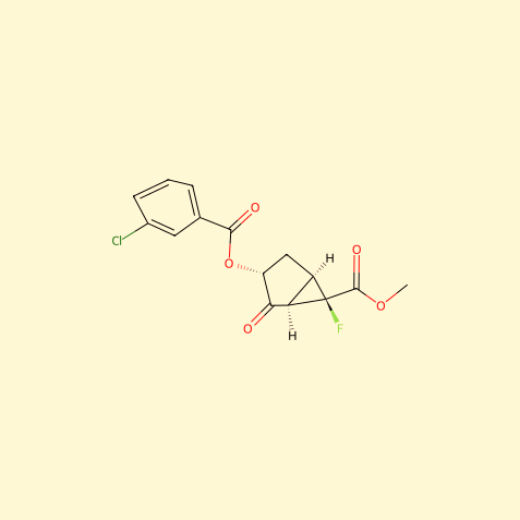 COC(=O)[C@@]1(F)[C@@H]2C[C@@H](OC(=O)c3cccc(Cl)c3)C(=O)[C@@H]21